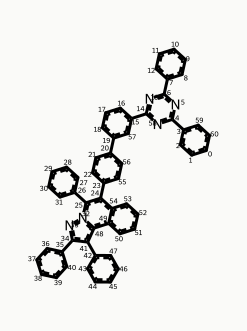 c1ccc(-c2nc(-c3ccccc3)nc(-c3cccc(-c4ccc(-c5c(-c6ccccc6)n6nc(-c7ccccc7)c(-c7ccccc7)c6c6ccccc56)cc4)c3)n2)cc1